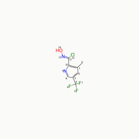 Cc1cc(C(F)(F)F)cnc1C(Cl)=NO